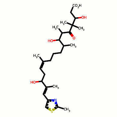 C/C(=C/CC(O)/C(C)=C/c1csc(C)n1)CCCC(C)C(O)C(C)C(=O)C(C)(C)C(O)CC(=O)O